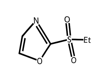 CCS(=O)(=O)c1ncco1